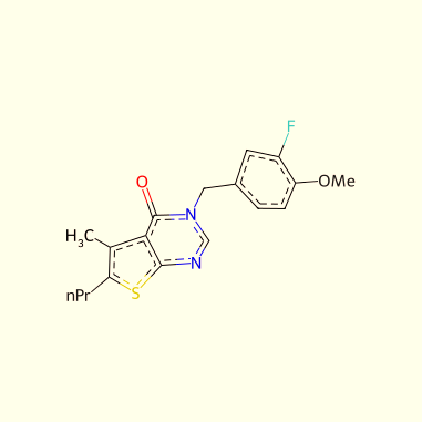 CCCc1sc2ncn(Cc3ccc(OC)c(F)c3)c(=O)c2c1C